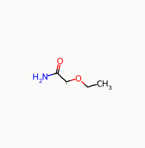 CCO[CH]C(N)=O